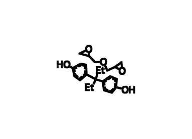 C(OCC1CO1)C1CO1.CCC(CC)(c1ccc(O)cc1)c1ccc(O)cc1